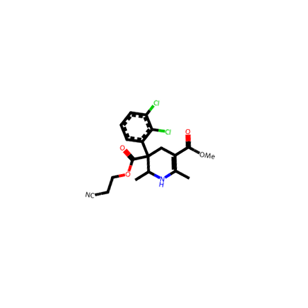 COC(=O)C1=C(C)NC(C)C(C(=O)OCCC#N)(c2cccc(Cl)c2Cl)C1